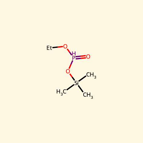 CCO[PH](=O)O[Si](C)(C)C